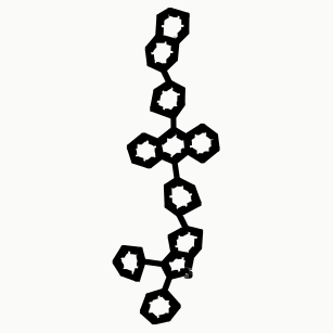 c1ccc(-c2sc3ccc(-c4ccc(-c5c6ccccc6c(-c6ccc(-c7ccc8ccccc8c7)cc6)c6ccccc56)cc4)cc3c2-c2ccccc2)cc1